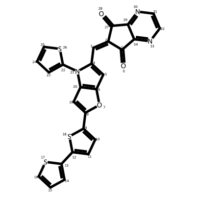 O=C1C(=Cc2cc3oc(-c4ccc(-c5cccs5)s4)cc3n2-c2cccs2)C(=O)c2nccnc21